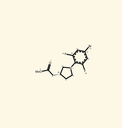 COC(=O)C[C@H]1CCN(c2c(F)cc(Br)cc2F)C1